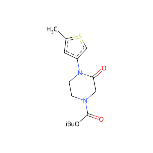 Cc1cc(N2CCN(C(=O)OCC(C)C)CC2=O)cs1